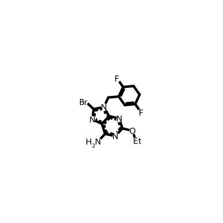 CCOc1nc(N)c2nc(Br)n(CC3=C(F)CCC(F)=C3)c2n1